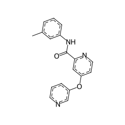 Cc1cccc(NC(=O)c2cc(Oc3cccnc3)ccn2)c1